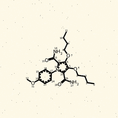 CCCCOc1c(OCCCC)c(C(N)=O)n(-c2ccc(OC)cc2)c1C(N)=O